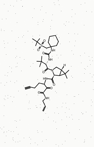 C#CCCC(NC(=O)[C@@H]1C2[C@H](CN1C(=O)[C@@H](NC(=O)NC1(CS(=O)(=O)C(C)(C)C)CCCCC1)C(C)(C)C)C2(C)C)C(=O)C(=O)NCC=C